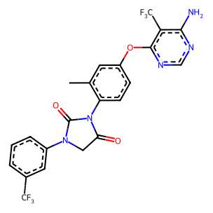 Cc1cc(Oc2ncnc(N)c2C(F)(F)F)ccc1N1C(=O)CN(c2cccc(C(F)(F)F)c2)C1=O